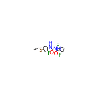 C#CCSc1ccc(NC(=O)NC(=O)c2c(F)cccc2F)c(F)c1